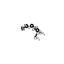 CCCCOc1cc(C(=O)Nc2cccc(Oc3ccnc(-c4nnco4)c3)c2)ccc1OC